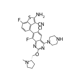 CN1CCC[C@H]1COc1nc(N2CCNCC2)c2cc(Cl)c(-c3ccc(F)c4sc(N)c(C#N)c34)c(F)c2n1